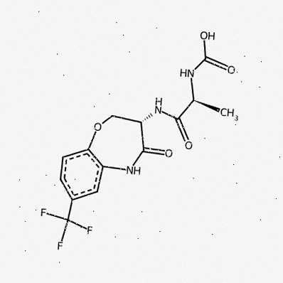 C[C@H](NC(=O)O)C(=O)N[C@H]1COc2ccc(C(F)(F)F)cc2NC1=O